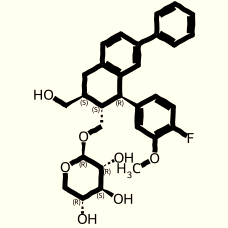 COc1cc([C@@H]2c3cc(-c4ccccc4)ccc3C[C@H](CO)[C@H]2CO[C@@H]2OC[C@@H](O)[C@H](O)[C@H]2O)ccc1F